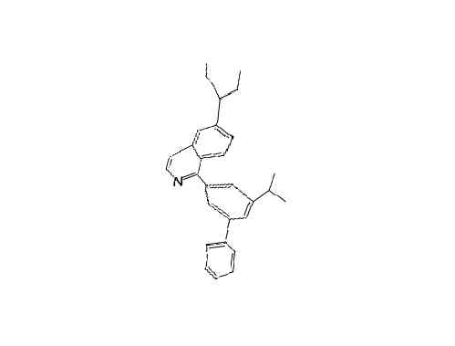 CCC(CC)c1ccc2c(-c3cc(-c4ccccc4)cc(C(C)C)c3)nccc2c1